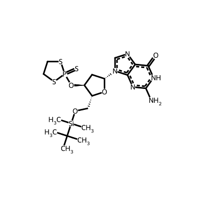 CC(C)(C)[Si](C)(C)OC[C@H]1O[C@@H](n2cnc3c(=O)[nH]c(N)nc32)C[C@@H]1OP1(=S)SCCS1